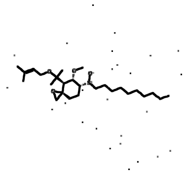 CCCCCCCCCC[S+]([O-])[C@@H]1CC[C@]2(CO2)[C@@H](C(C)(C)OCC=C(C)C)[C@@H]1OC